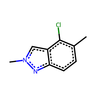 Cc1ccc2nn(C)cc2c1Cl